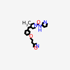 CC1CN(C(=O)Nc2cccnc2)CCC1=Cc1cccc(OCCCc2cnoc2)c1